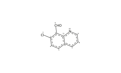 O=Cc1c(Cl)ccc2cccnc12